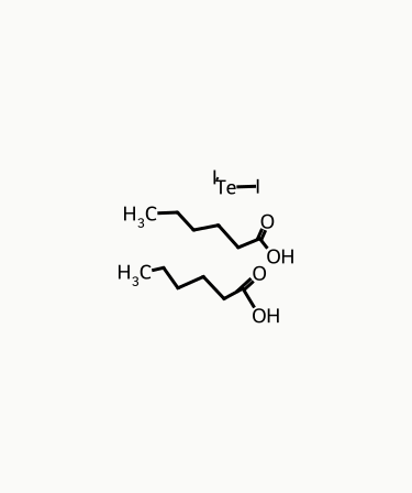 CCCCCC(=O)O.CCCCCC(=O)O.I[Te]I